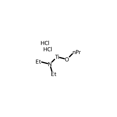 CCC[O][Ti][N](CC)CC.Cl.Cl